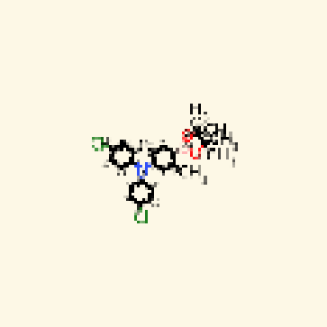 Cc1cc(N(c2ccc(Cl)cc2)c2ccc(Cl)cc2)c(C)cc1B1OC(C)(C)C(C)(C)O1